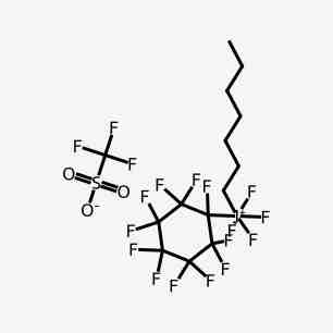 CCCCCCC[I+](F)(F)(F)(F)C1(F)C(F)(F)C(F)(F)C(F)(F)C(F)(F)C1(F)F.O=S(=O)([O-])C(F)(F)F